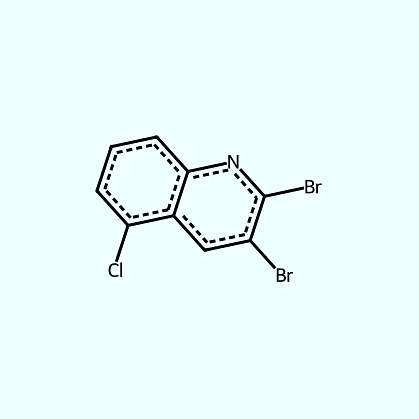 Clc1cccc2nc(Br)c(Br)cc12